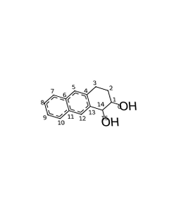 OC1CCc2cc3ccccc3cc2C1O